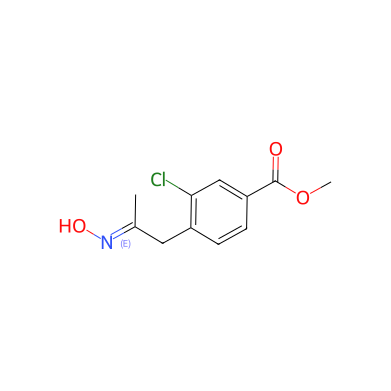 COC(=O)c1ccc(C/C(C)=N/O)c(Cl)c1